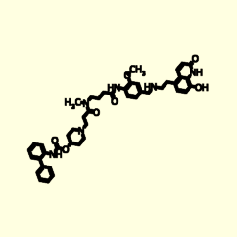 COc1cc(CNCCc2ccc(O)c3[nH]c(=O)ccc23)ccc1NC(=O)CCCN(C)C(=O)CCN1CCC(OC(=O)Nc2ccccc2-c2ccccc2)CC1